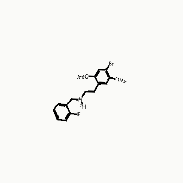 [2H]N(CCc1cc(OC)c(Br)cc1OC)Cc1ccccc1F